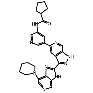 O=C(Nc1cncc(-c2cc3c(-c4nc5c(N6CCCCC6)cncc5[nH]4)n[nH]c3cn2)c1)C1CCCC1